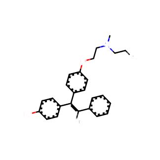 CC/C(=C(\c1ccc(O)cc1)c1ccc(OCCN(C)CCC(C)=O)cc1)c1ccccc1